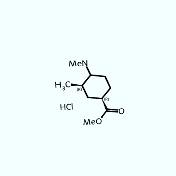 CNC1CC[C@@H](C(=O)OC)C[C@H]1C.Cl